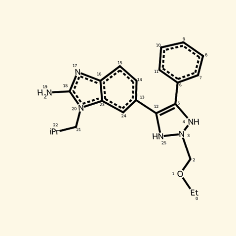 CCOCN1NC(c2ccccc2)=C(c2ccc3nc(N)n(CC(C)C)c3c2)N1